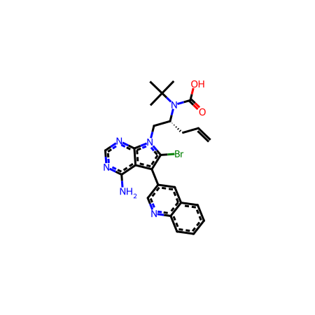 C=CC[C@H](Cn1c(Br)c(-c2cnc3ccccc3c2)c2c(N)ncnc21)N(C(=O)O)C(C)(C)C